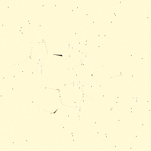 C[C@H]1OC(=O)N[C@@H]1c1nnc(C2(NC(=O)N(C)[C@@H](CO)C(=O)O)CC(CC#N)C2)o1